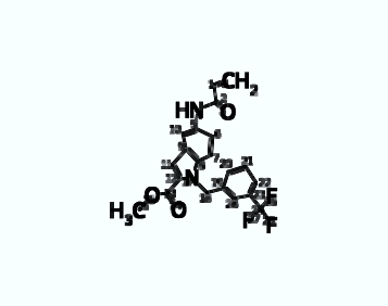 C=CC(=O)Nc1ccc2c(c1)cc(C(=O)OC)n2Cc1cccc(C(F)(F)F)c1